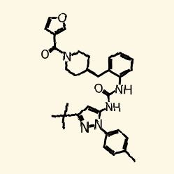 Cc1ccc(-n2nc(C(C)(C)C)cc2NC(=O)Nc2ccccc2CC2CCN(C(=O)c3ccoc3)CC2)cc1